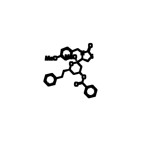 COc1ccc(CN2C(=O)SC[C@H]2[C@@]2(OC)CC(OC(=O)c3ccccc3)C[C@@H](CCc3ccccc3)O2)cc1